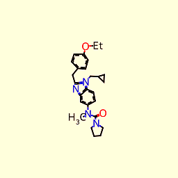 CCOc1ccc(Cc2nc3cc(N(C)C(=O)N4CCCC4)ccc3n2CC2CC2)cc1